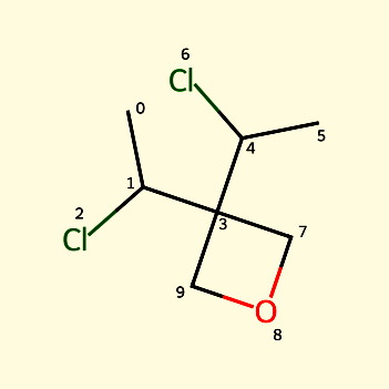 CC(Cl)C1(C(C)Cl)COC1